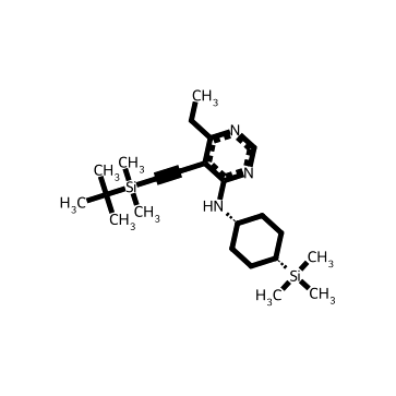 CCc1ncnc(N[C@H]2CC[C@@H]([Si](C)(C)C)CC2)c1C#C[Si](C)(C)C(C)(C)C